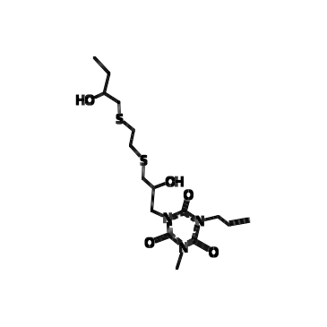 C=CCn1c(=O)n(C)c(=O)n(CC(O)CSCCSCC(O)CC)c1=O